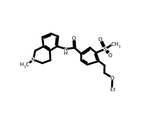 CCOCCc1ccc(C(=O)Nc2cccc3c2CCN(C)C3)cc1S(C)(=O)=O